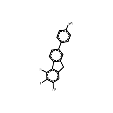 CCCc1ccc(-c2ccc3c(c2)Cc2cc(CCC)c(F)c(F)c2-3)cc1